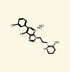 Cl.Cl.O[C@H]1CCCN[C@@H]1CCCn1cnc2c(Cl)c(-c3cccc(Cl)c3)cnc21